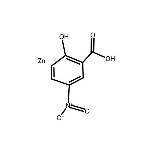 O=C(O)c1cc([N+](=O)[O-])ccc1O.[Zn]